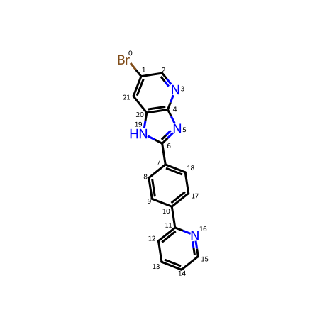 Brc1cnc2nc(-c3ccc(-c4ccccn4)cc3)[nH]c2c1